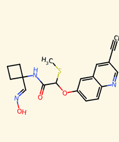 C#Cc1cnc2ccc(OC(SC)C(=O)NC3(C=NO)CCC3)cc2c1